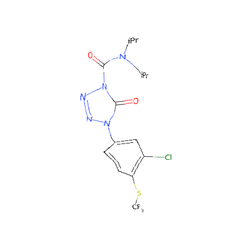 CC(C)N(C(=O)n1nnn(-c2ccc(SC(F)(F)F)c(Cl)c2)c1=O)C(C)C